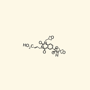 CC1(NS(=O)(=O)c2ccc3c(c2)c(=O)n(C/C=C/C(=O)O)c(=O)n3CC2COC2)COC1